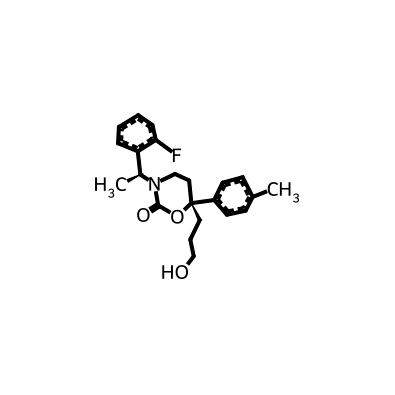 Cc1ccc([C@@]2(CCCO)CCN([C@@H](C)c3ccccc3F)C(=O)O2)cc1